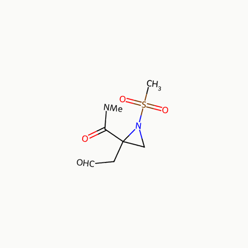 CNC(=O)C1(CC=O)CN1S(C)(=O)=O